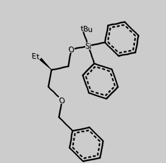 CC[C@H](COCc1ccccc1)CO[Si](c1ccccc1)(c1ccccc1)C(C)(C)C